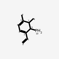 C=CC1=CC=C(C)C(C)C1P